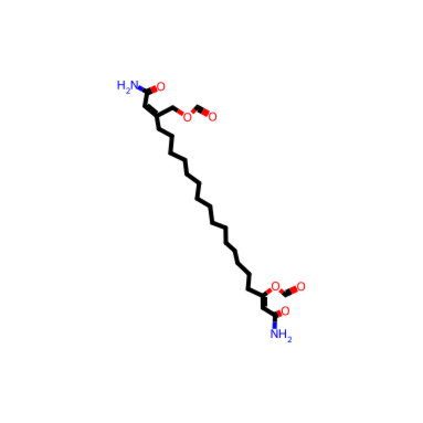 NC(=O)C=C(CCCCCCCCCCCCCCCC(=CC(N)=O)OC=O)COC=O